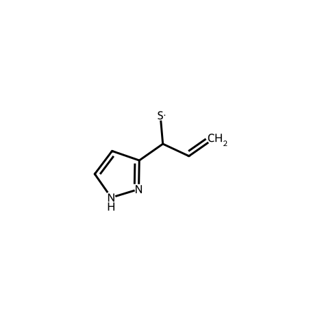 C=CC([S])c1cc[nH]n1